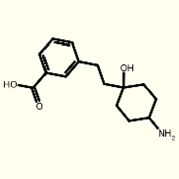 NC1CCC(O)(CCc2cccc(C(=O)O)c2)CC1